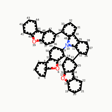 c1ccc2c(c1)oc1cc(-n3c4c(-c5ccc6oc7ccccc7c6c5)cccc4c4cccc(-c5ccc6oc7ccccc7c6c5)c43)ccc12